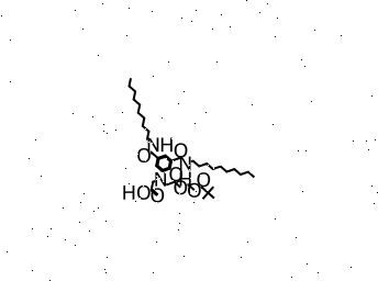 CCCCCCCCCCNC(=O)c1cc(C(=O)NCCCCCCCCCC)cc(N(CC(=O)O)CC(=O)OCOC(=O)C(C)(C)C)c1